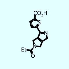 CCC(=O)N1CC2=C(C1)C(c1ccc(C(=O)O)s1)=NC2